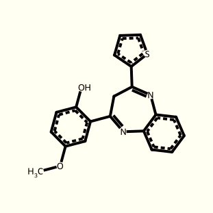 COc1ccc(O)c(C2=Nc3ccccc3N=C(c3cccs3)C2)c1